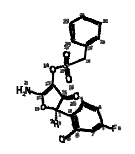 [2H][C@]1(c2ccc(F)cc2Cl)OC(N)=C(OS(=O)(=O)Cc2ccccc2)C1=O